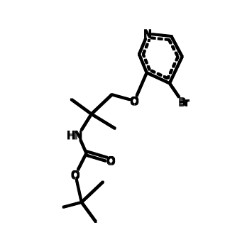 CC(C)(COc1cnccc1Br)NC(=O)OC(C)(C)C